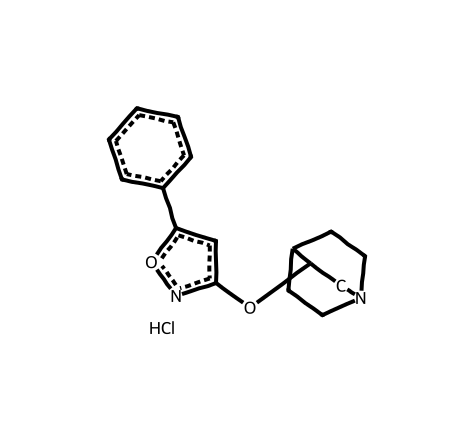 Cl.c1ccc(-c2cc(OC3CN4CCC3CC4)no2)cc1